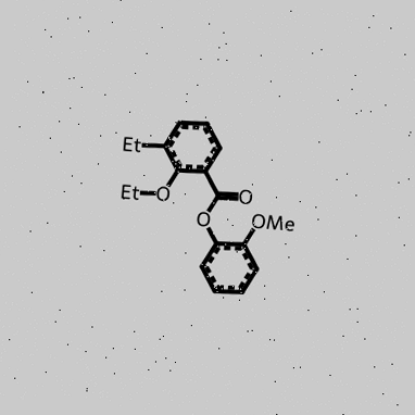 CCOc1c(CC)cccc1C(=O)Oc1ccccc1OC